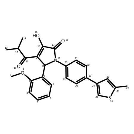 COc1ccccc1C1C(C(=O)C(C)C)=C(O)C(=O)N1c1ccc(-c2csc(C)c2)cc1